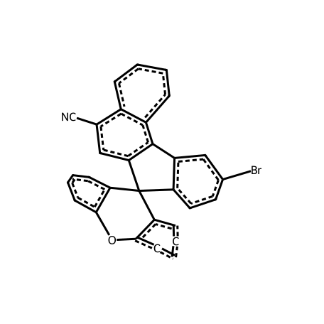 N#Cc1cc2c(c3ccccc13)-c1cc(Br)ccc1C21c2ccccc2Oc2ccccc21